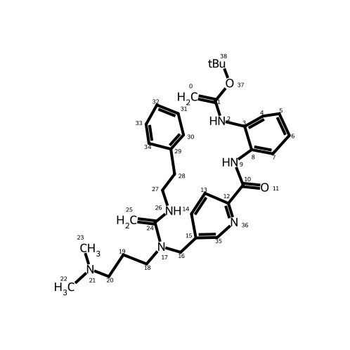 C=C(Nc1ccccc1NC(=O)c1ccc(CN(CCCN(C)C)C(=C)NCCc2ccccc2)cn1)OC(C)(C)C